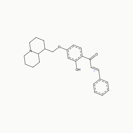 O=C(/C=C/c1ccccc1)c1ccc(OCC2CCCN3CCCCC23)cc1O